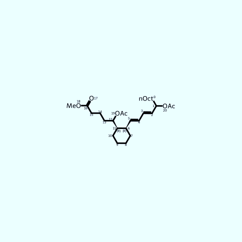 CCCCCCCCC(C=CC=C[C@H]1CCCC[C@H]1C(CCCC(=O)OC)OC(C)=O)OC(C)=O